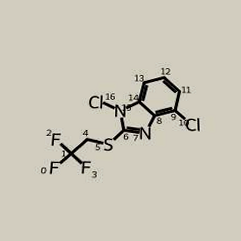 FC(F)(F)CSc1nc2c(Cl)cccc2n1Cl